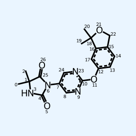 CC1(C)NC(=O)N(c2cnc(Oc3ccc4c(c3)C(C)(C)OC4)nc2)C1=O